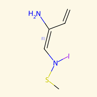 C=C/C(N)=C\N(I)SC